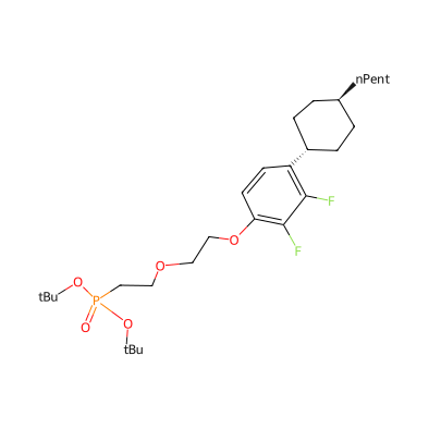 CCCCC[C@H]1CC[C@H](c2ccc(OCCOCCP(=O)(OC(C)(C)C)OC(C)(C)C)c(F)c2F)CC1